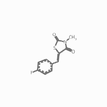 CN1C(=O)S/C(=C\c2ccc(F)cc2)C1=O